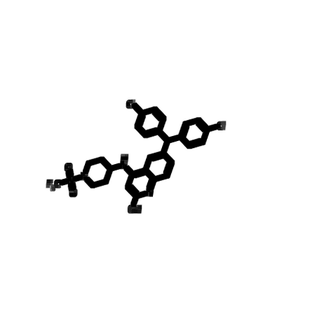 O=S(=O)(N1CCC(Nc2cc(O)nc3ccc(C(c4ccc(Cl)cc4)c4ccc(Cl)cc4)cc23)CC1)C(F)(F)F